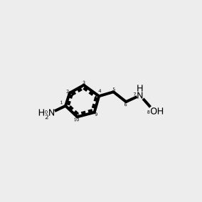 Nc1ccc(CCNO)cc1